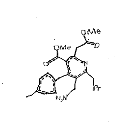 COC(=O)Cc1nc(CC(C)C)c(CN)c(-c2ccc(C)cc2)c1C(=O)OC